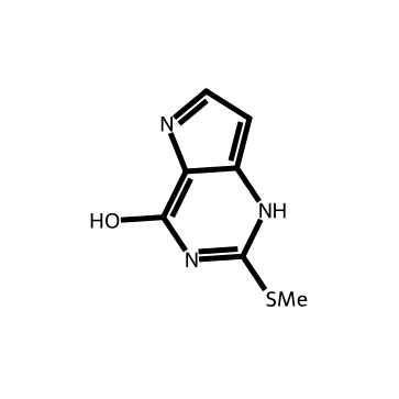 CSc1nc(O)c2nccc-2[nH]1